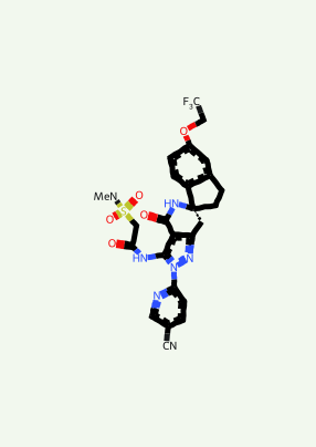 CNS(=O)(=O)CC(=O)Nc1c2c(nn1-c1ccc(C#N)cn1)C[C@]1(CCc3cc(OCC(F)(F)F)ccc31)NC2=O